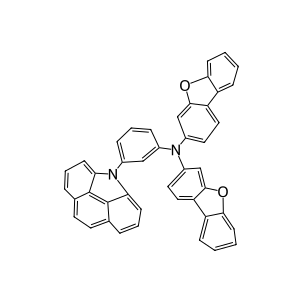 c1cc(N(c2ccc3c(c2)oc2ccccc23)c2ccc3c(c2)oc2ccccc23)cc(-n2c3cccc4ccc5cccc2c5c43)c1